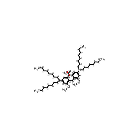 CCCCCCCCN(CCCCCCCC)c1cc(OC)c(Cc2c(OC)cc(N(CCCCCCCC)CCCCCCCC)cc2OC)c(OC)c1